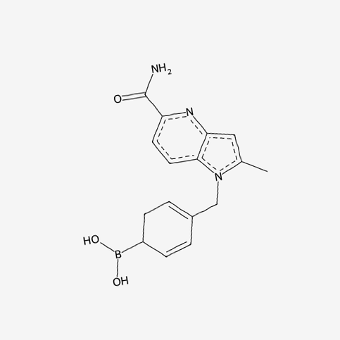 Cc1cc2nc(C(N)=O)ccc2n1CC1=CCC(B(O)O)C=C1